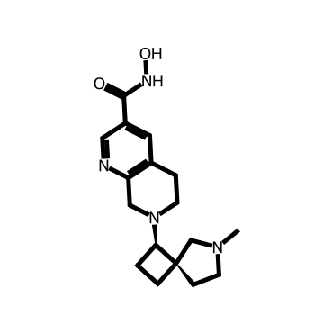 CN1CC[C@]2(CC[C@H]2N2CCc3cc(C(=O)NO)cnc3C2)C1